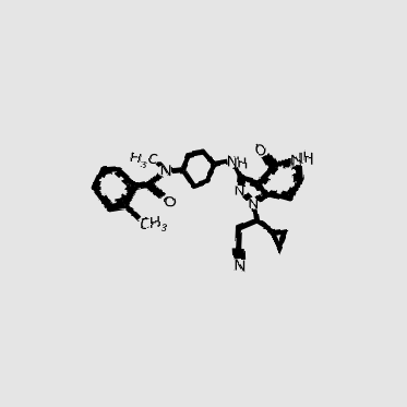 Cc1ccccc1C(=O)N(C)C1CCC(Nc2nn(C(CC#N)C3CC3)c3cc[nH]c(=O)c23)CC1